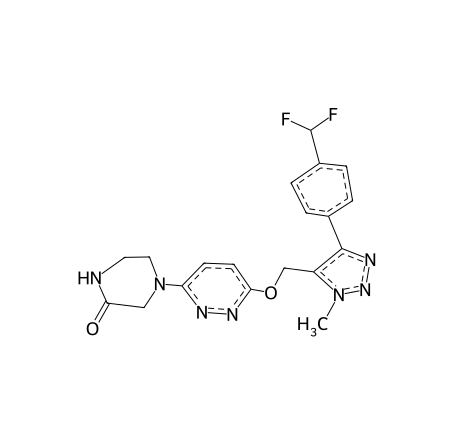 Cn1nnc(-c2ccc(C(F)F)cc2)c1COc1ccc(N2CCNC(=O)C2)nn1